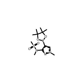 CN(c1nn(C)cc1B1OC(C)(C)C(C)(C)O1)S(C)(=O)=O